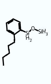 CCCCCc1ccccc1[SiH2]O[SiH3]